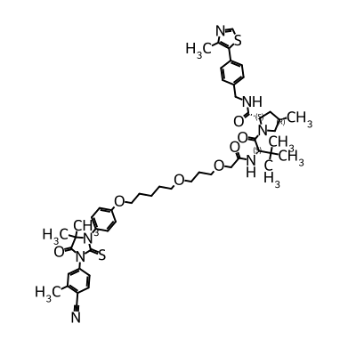 Cc1cc(N2C(=O)C(C)(C)N(c3ccc(OCCCCCOCCCOCC(=O)N[C@H](C(=O)N4C[C@H](C)C[C@H]4C(=O)NCc4ccc(-c5scnc5C)cc4)C(C)(C)C)cc3)C2=S)ccc1C#N